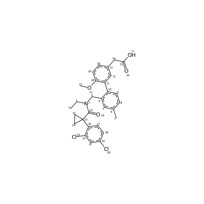 CCN(Cc1cc(C)ccc1-c1cc(CC(=O)O)ccc1OC)C(=O)C1(c2ccc(Cl)cc2Cl)CC1